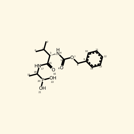 CC(C)[C@H](NC(=O)OCc1ccccc1)C(=O)NC(C)P(O)O